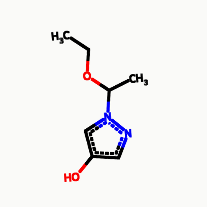 CCOC(C)n1cc(O)cn1